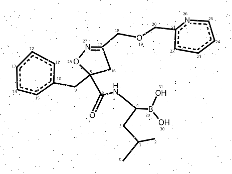 CC(C)CC(NC(=O)C1(Cc2ccccc2)CC(COCc2ccccn2)=NO1)B(O)O